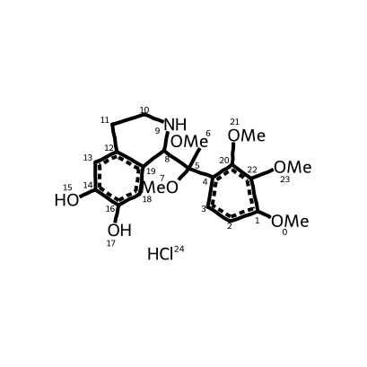 COc1ccc(C(OC)(OC)C2NCCc3cc(O)c(O)cc32)c(OC)c1OC.Cl